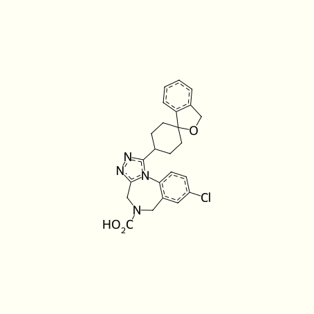 O=C(O)N1Cc2cc(Cl)ccc2-n2c(nnc2C2CCC3(CC2)OCc2ccccc23)C1